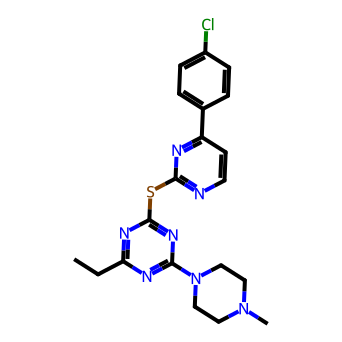 CCc1nc(Sc2nccc(-c3ccc(Cl)cc3)n2)nc(N2CCN(C)CC2)n1